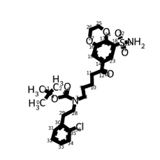 CC(C)(C)OC(=O)N(CCCCC(=O)c1cc2c(c(S(N)(=O)=O)c1)OCCO2)CCc1ccccc1Cl